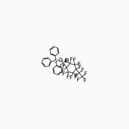 O=S(=O)(OS(c1ccccc1)(c1ccccc1)c1ccccc1)C1(F)C(F)(F)C(F)(F)C(F)(C(F)(F)C(F)(F)F)C(F)(F)C1(F)F